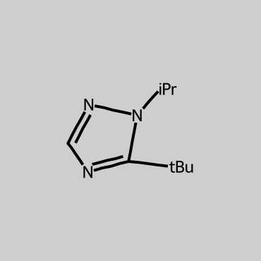 CC(C)n1ncnc1C(C)(C)C